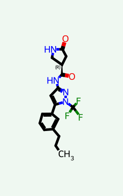 CCCc1cccc(-c2cc(NC(=O)[C@H]3CNC(=O)C3)nn2C(F)(F)F)c1